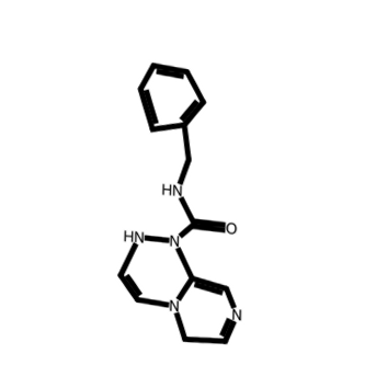 O=C(NCc1ccccc1)N1NC=CN2CC=NC=C21